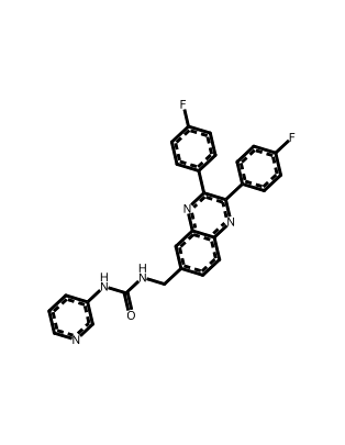 O=C(NCc1ccc2nc(-c3ccc(F)cc3)c(-c3ccc(F)cc3)nc2c1)Nc1cccnc1